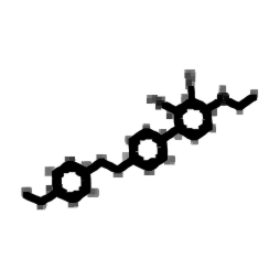 CCOc1ccc(-c2ccc(CCc3ccc(CC)cc3)cc2)c(F)c1F